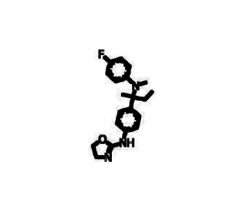 CCC(C)(c1ccc(NC2=NCCO2)cc1)N(C)c1ccc(F)cc1